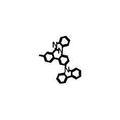 Cc1ccc2c3cc(-n4c5ccccc5c5ccccc54)ccc3n3c4ccccc4nc3c2c1